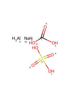 O=C(O)O.O=S(=O)(O)O.[AlH3].[NaH]